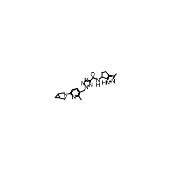 Cc1nc(N2CC3CC3C2)ccc1Cn1nnc(C(=O)NC2CCc3c(C)n[nH]c32)n1